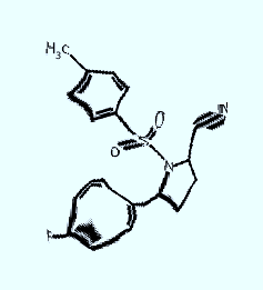 Cc1ccc(S(=O)(=O)N2C(C#N)CCC2c2ccc(F)cc2)cc1